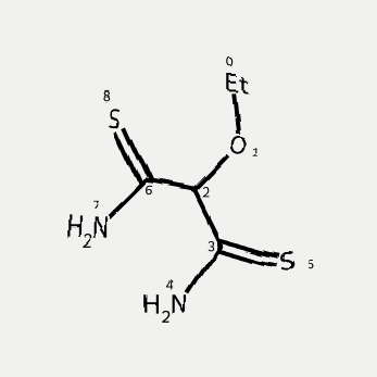 CCOC(C(N)=S)C(N)=S